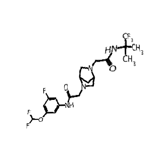 CC(C)(NC(=O)CN1CC2CC1CN2CC(=O)Nc1cc(F)cc(OC(F)F)c1)C(F)(F)F